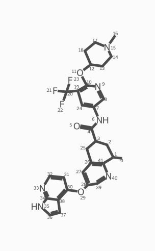 CC1CC(C(=O)Nc2cnc(OC3CCN(C)CC3)c(C(F)(F)F)c2)Cc2cc(Oc3ccnc4[nH]ccc34)cnc21